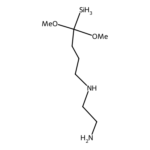 COC([SiH3])(CCCNCCN)OC